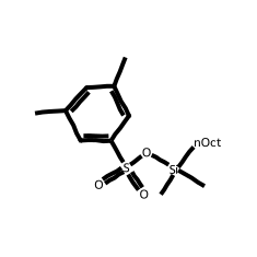 CCCCCCCC[Si](C)(C)OS(=O)(=O)c1cc(C)cc(C)c1